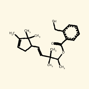 CC1=CCC(C=CC(C)(C)C(C)OC(=O)c2ccccc2CO)C1(C)C